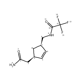 NC(=O)C[C@@H]1C=C[C@H](CNC(=O)C(F)(F)F)C1